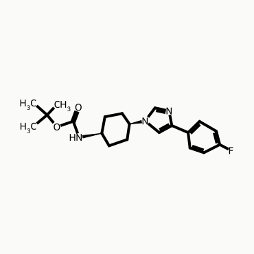 CC(C)(C)OC(=O)N[C@H]1CC[C@@H](n2cnc(-c3ccc(F)cc3)c2)CC1